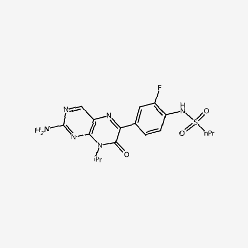 CCCS(=O)(=O)Nc1ccc(-c2nc3cnc(N)nc3n(C(C)C)c2=O)cc1F